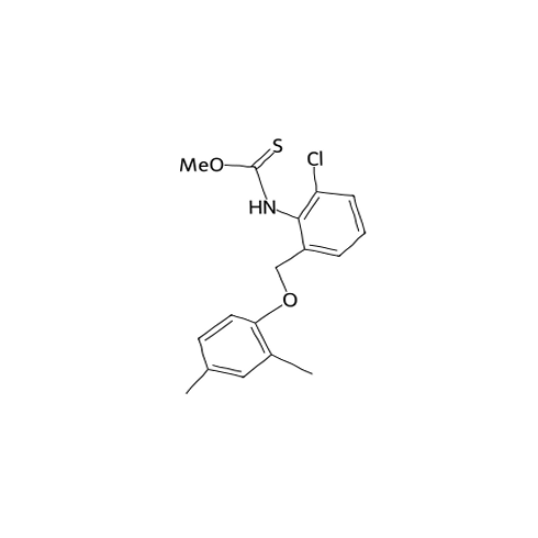 COC(=S)Nc1c(Cl)cccc1COc1ccc(C)cc1C